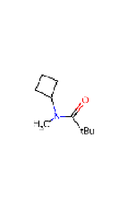 CN(C(=O)C(C)(C)C)C1CCC1